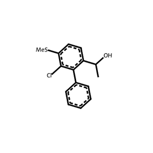 CSc1ccc(C(C)O)c(-c2ccccc2)c1Cl